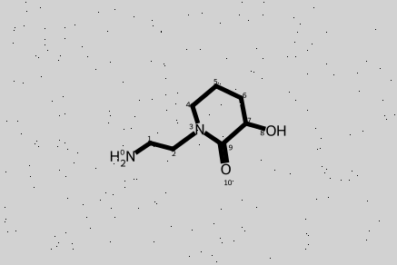 NCCN1CCCC(O)C1=O